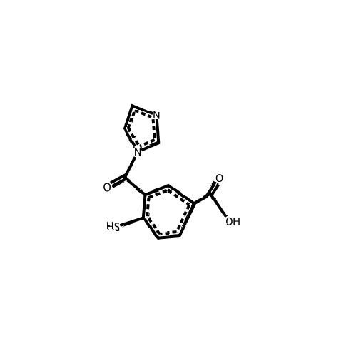 O=C(O)c1ccc(S)c(C(=O)n2ccnc2)c1